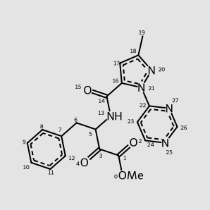 COC(=O)C(=O)C(Cc1ccccc1)NC(=O)c1cc(C)nn1-c1ccncn1